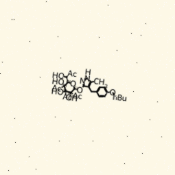 CCCCOc1ccc(Cc2c(O[C@@H]3O[C@H](C(O)C(C)=O)[C@](O)(C(C)=O)[C@@](O)(C(C)=O)[C@]3(O)C(C)=O)n[nH]c2C)cc1